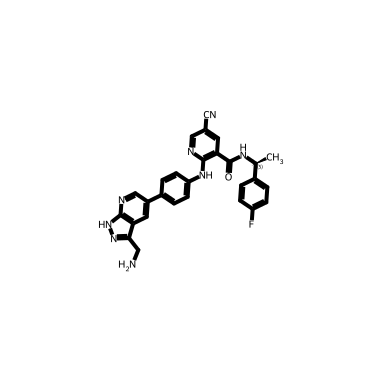 C[C@H](NC(=O)c1cc(C#N)cnc1Nc1ccc(-c2cnc3[nH]nc(CN)c3c2)cc1)c1ccc(F)cc1